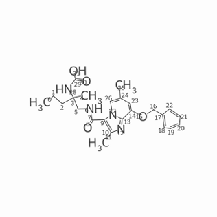 CCCC(C)(CNC(=O)c1c(C)nc2c(OCc3ccccc3)cc(C)cn12)NC(=O)O